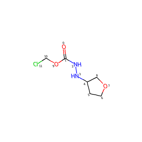 O=C(NNC1CCOC1)OCCl